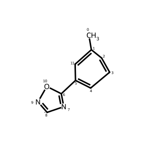 Cc1cccc(-c2n[c]no2)c1